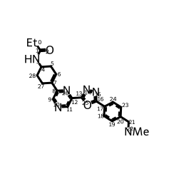 CCC(=O)NC1CC=C(c2cncc(-c3nnc(-c4ccc(CNC)cc4)o3)n2)CC1